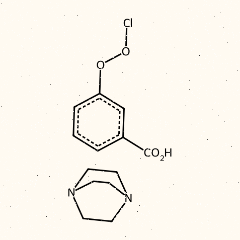 C1CN2CCN1CC2.O=C(O)c1cccc(OOCl)c1